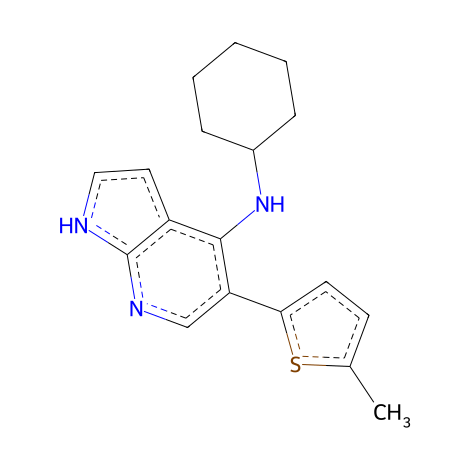 Cc1ccc(-c2cnc3[nH]ccc3c2NC2CCCCC2)s1